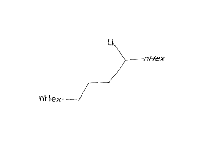 [Li][CH](CCCCCC)CCCCCCCCC